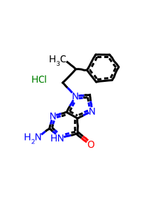 CC(Cn1cnc2c(=O)[nH]c(N)nc21)c1ccccc1.Cl